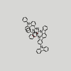 c1ccc(-c2ccc(-n3c4ccc(-n5c6ccccc6c6ccccc65)cc4c4ccc5c6ccccc6n(-c6nc(-c7ccccc7)nc(-c7cccc8c7c7ccccc7n8-c7ccccc7)n6)c5c43)cc2)cc1